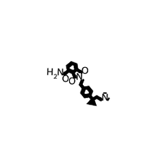 CN(C)CCC1(c2ccc(CCN3C(=O)c4cccc(C(N)=O)c4C3=O)cc2)CC1